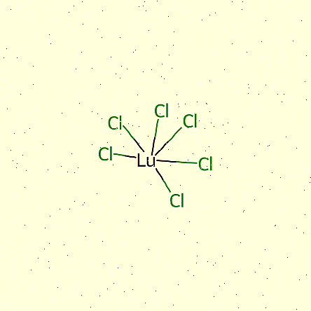 [Cl][Lu]([Cl])([Cl])([Cl])([Cl])[Cl]